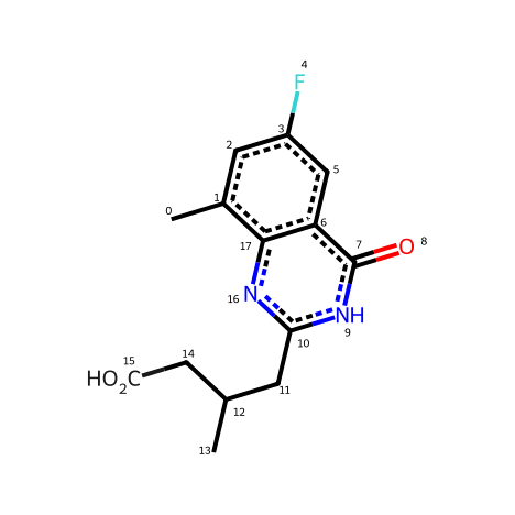 Cc1cc(F)cc2c(=O)[nH]c(CC(C)CC(=O)O)nc12